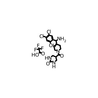 NC(c1cc(Cl)c(Cl)cc1O)C1CCN(C(=O)C2CNC(=O)NC2)CC1.O=C(O)C(F)(F)F